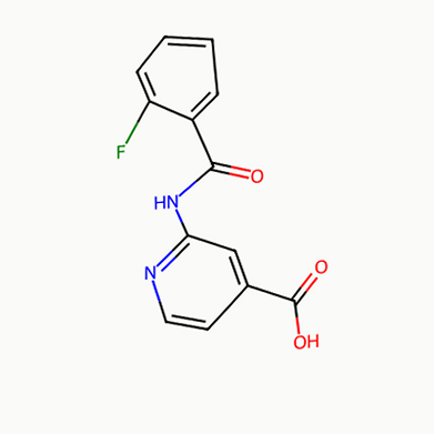 O=C(O)c1ccnc(NC(=O)c2ccccc2F)c1